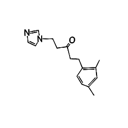 Cc1ccc(CCC(=O)CCn2ccnc2)c(C)c1